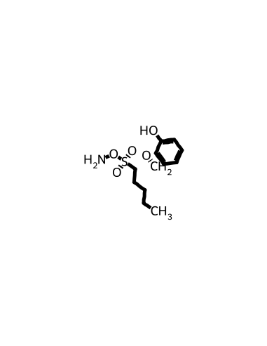 C=O.CCCCCS(=O)(=O)ON.Oc1ccccc1